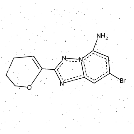 Nc1cc(Br)cc2nc(C3=CCCCO3)nn12